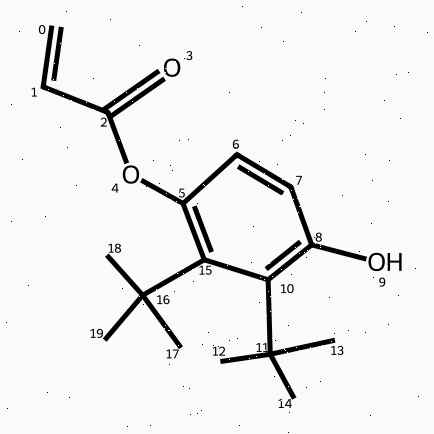 C=CC(=O)Oc1ccc(O)c(C(C)(C)C)c1C(C)(C)C